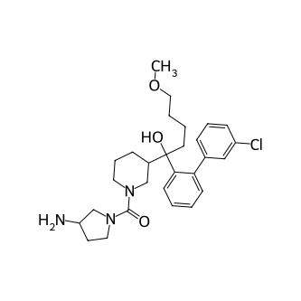 COCCCCC(O)(c1ccccc1-c1cccc(Cl)c1)C1CCCN(C(=O)N2CCC(N)C2)C1